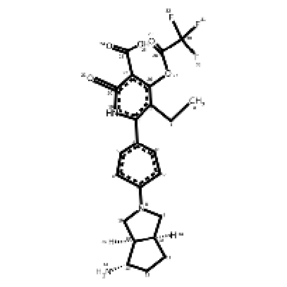 CCc1c(-c2ccc(N3C[C@H]4CC[C@H](N)[C@H]4C3)cc2)[nH]c(=O)c(C(=O)O)c1OC(=O)C(F)(F)F